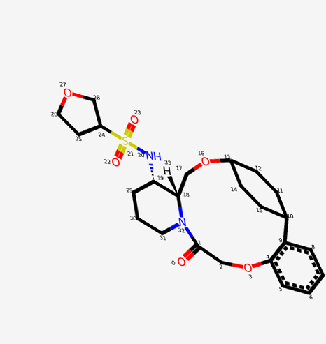 O=C1COc2ccccc2C2CCC(CC2)OC[C@H]2[C@@H](NS(=O)(=O)C3CCOC3)CCCN12